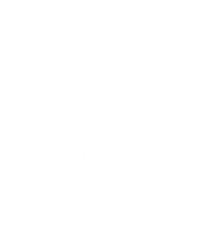 CC(=O)C1CC2CC(Cl)CC(C2)C1Cc1ccccc1